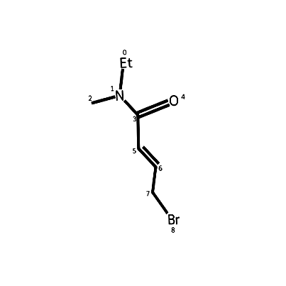 CCN(C)C(=O)C=CCBr